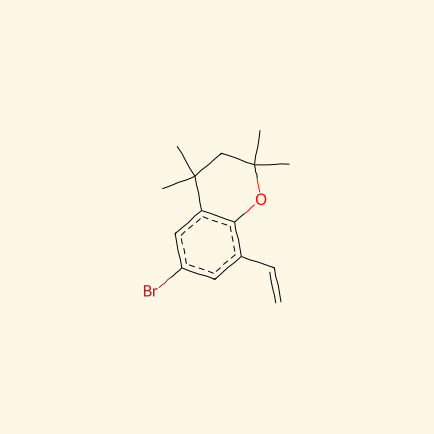 C=Cc1cc(Br)cc2c1OC(C)(C)CC2(C)C